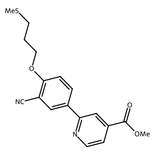 COC(=O)c1ccnc(-c2ccc(OCCCSC)c(C#N)c2)c1